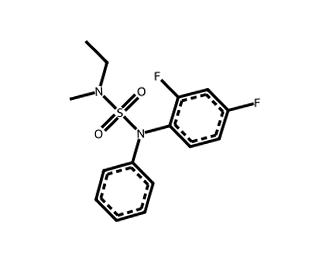 CCN(C)S(=O)(=O)N(c1ccccc1)c1ccc(F)cc1F